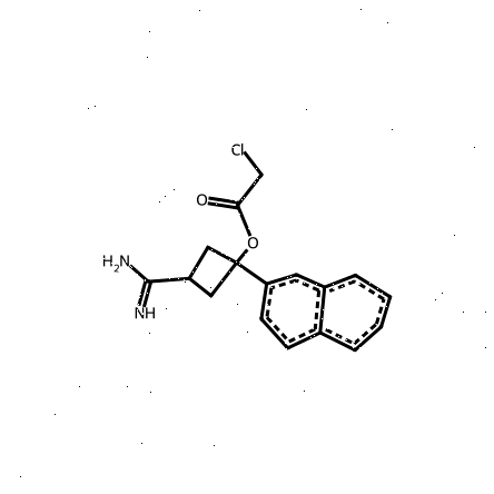 N=C(N)C1CC(OC(=O)CCl)(c2ccc3ccccc3c2)C1